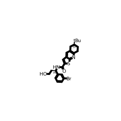 CC(C)(C)[C@H]1CCc2nc3sc(C(=O)N[C@H](CCO)c4cccc(Br)c4)cc3cc2C1